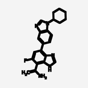 C=C(N)c1c(F)cc(-c2ccc3c(c2)ncn3C2CCCCC2)c2nc[nH]c12